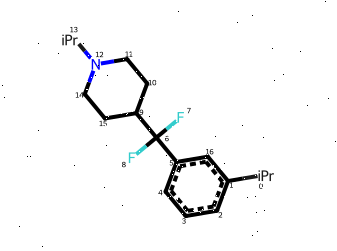 CC(C)c1cccc(C(F)(F)C2CCN(C(C)C)CC2)c1